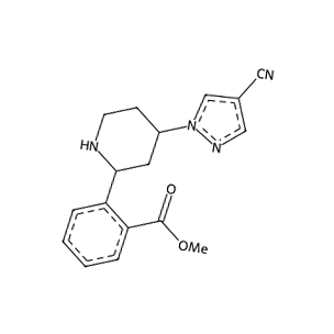 COC(=O)c1ccccc1C1CC(n2cc(C#N)cn2)CCN1